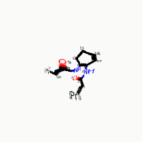 CC(C)CC(=O)NC1=C(NC(=O)CC(C)C)CCC=C1